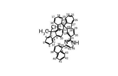 CC1(C)c2ccccc2-c2ccc3c(c21)C1C=CC=CC1C31c2ccccc2C2C=CC(C3=NC(c4cccc5ccccc45)=CCN3)=CC21